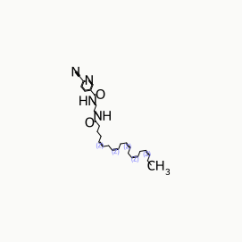 CC/C=C\C/C=C\C/C=C\C/C=C\C/C=C\CCCC(=O)NCCNC(=O)c1ccc(C#N)nc1